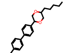 CCCCCC1COC(c2ccc(-c3ccc(C)cc3)cc2)CO1